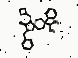 CN(C)[C@]1(c2ccccc2)CC[C@]2(CC1)CN(Cc1ccccn1)C(=O)N2CC1CCC1